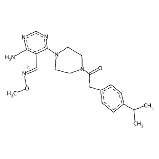 CO/N=C/c1c(N)ncnc1N1CCN(C(=O)Cc2ccc(C(C)C)cc2)CC1